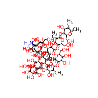 CC1C(O)[C@H](O[C@@H]2OC(CO[C@]3(C(=O)O)C[C@@H](O)[C@@H](N)C([C@H](O)[C@H](O)CO)O3)[C@H](O)C(O)[C@@H]2O)[C@H](CO)O[C@H]1O[C@@H]1C(O)[C@H](O)C(CO)O[C@@H]1OCC1O[C@@H](O[C@@H]2C(CO)O[C@@H](O[C@@H]3C(CO)O[C@@H](C)[C@@H](C)C3O)[C@@H](C)C2O)[C@H](O)C(O[C@H]2O[C@H](CO)[C@@H](O)C(O)C2O[C@@H]2OC(CO)[C@@H](O[C@@H]3OC(CO)[C@H](O)C(O)[C@@H]3O)C(O)[C@@H]2C)[C@@H]1O